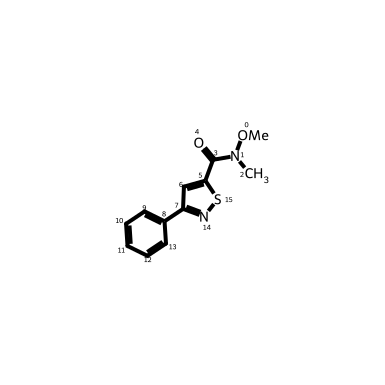 CON(C)C(=O)c1cc(-c2ccccc2)ns1